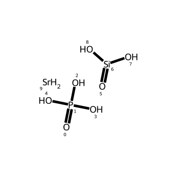 O=P(O)(O)O.O=[Si](O)O.[SrH2]